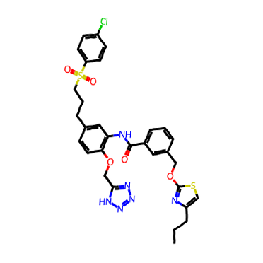 CCCc1csc(OCc2cccc(C(=O)Nc3cc(CCCS(=O)(=O)c4ccc(Cl)cc4)ccc3OCc3nnn[nH]3)c2)n1